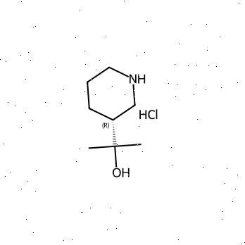 CC(C)(O)[C@@H]1CCCNC1.Cl